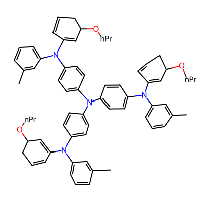 CCCOC1C=C(N(c2ccc(N(c3ccc(N(C4=CC(OCCC)CC=C4)c4cccc(C)c4)cc3)c3ccc(N(C4=CC(OCCC)CC=C4)c4cccc(C)c4)cc3)cc2)c2cccc(C)c2)C=CC1